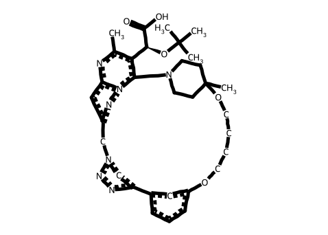 Cc1nc2cc3nn2c(c1[C@H](OC(C)(C)C)C(=O)O)N1CCC(C)(CC1)OCCCCOc1cccc(c1)-c1cn(nn1)C3